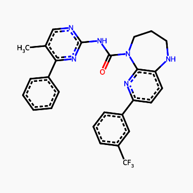 Cc1cnc(NC(=O)N2CCCNc3ccc(-c4cccc(C(F)(F)F)c4)nc32)nc1-c1ccccc1